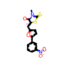 CN1C(=O)/C(=C/c2ccc(-c3cccc([N+](=O)[O-])c3)o2)SC1=S